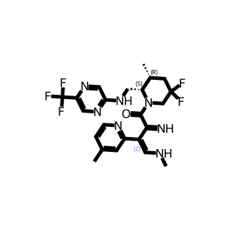 CN/C=C(\C(=N)C(=O)N1CC(F)(F)C[C@@H](C)[C@H]1CNc1cnc(C(F)(F)F)cn1)c1cc(C)ccn1